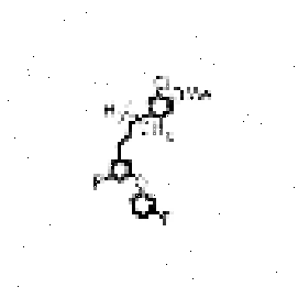 COc1ccc(C(C)(C)CCCc2cc(F)cc(Oc3cccc(F)c3)c2)cc1Cl